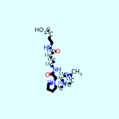 C[15N]1[13CH2][13CH2][15N]([13CH2]C2CCC[15N]2CC(=O)N[13CH2][13CH2][13CH2][13C](=O)NCC[13CH2][13C](=O)O)[13CH2][13CH2]1